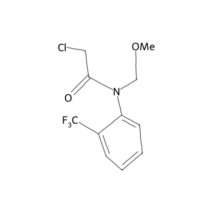 COCN(C(=O)CCl)c1ccccc1C(F)(F)F